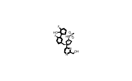 CS(=O)(=O)N[C@H]1CC[C@](Cc2ccc(F)c(-c3cccc(F)c3O)c2)(c2ccnc(CO)n2)C1